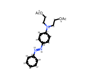 CC(=O)OCCN(CCOC(C)=O)c1ccc(N=Nc2ccccc2)cc1